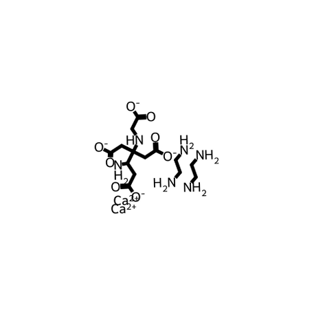 NC(CC(=O)[O-])C(CC(=O)[O-])(CC(=O)[O-])NCC(=O)[O-].NCCN.NCCN.[Ca+2].[Ca+2]